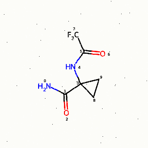 NC(=O)C1(NC(=O)C(F)(F)F)CC1